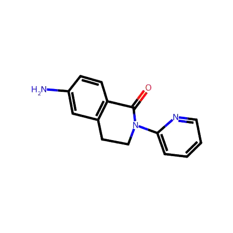 Nc1ccc2c(c1)CCN(c1ccccn1)C2=O